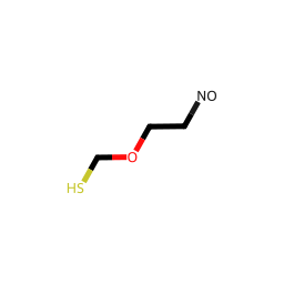 O=NCCOCS